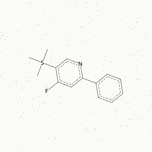 CS(C)(C)c1cnc(-c2ccccc2)cc1F